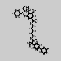 CCCN(Cc1cc(C(=O)OCCCCCOC(=O)C(C)(F)c2ccc(-c3ccccc3)cc2)cc(Br)c1N)C1CCCCC1